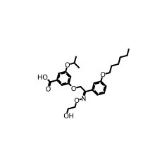 CCCCCCOc1cccc(C(COc2cc(OC(C)C)cc(C(=O)O)c2)=NOCCO)c1